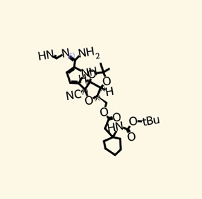 CC(C)(C)OC(=O)NC1(CC(=O)OC[C@H]2O[C@@](C#N)(c3ccc(/C(N)=N\C=N)[nH]3)[C@@H]3OC(C)(C)O[C@@H]32)CCCCC1